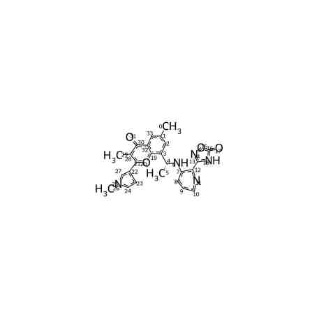 Cc1cc([C@@H](C)Nc2cccnc2-c2noc(=O)[nH]2)c2oc(-c3ccn(C)c3)c(C)c(=O)c2c1